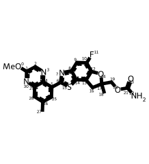 COc1cnc2c(-c3nc4cc(F)c5c(c4s3)CC(C)(COC(N)=O)O5)cc(C)cc2n1